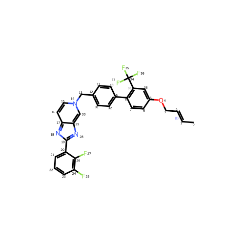 C/C=C/COc1ccc(-c2ccc(Cn3ccc4nc(-c5cccc(F)c5F)nc-4c3)cc2)c(C(F)(F)F)c1